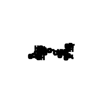 CC(C)COC(=O)CC[C@H](NC(=O)CNC(=O)CBr)C(=O)NC1CCCC(Cc2ccc([C@@H]3O[C@@H]4C[C@H]5[C@@H]6CCC7=CC(=O)C=C[C@]7(C)[C@H]6[C@@H](O)C[C@]5(C)[C@]4(C(=O)CO)O3)cc2)C1